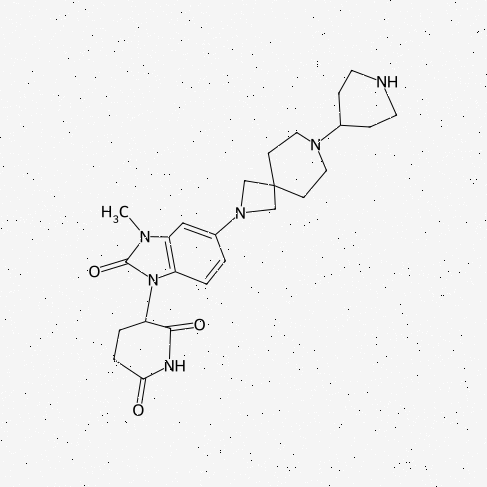 Cn1c(=O)n(C2CCC(=O)NC2=O)c2ccc(N3CC4(CCN(C5CCNCC5)CC4)C3)cc21